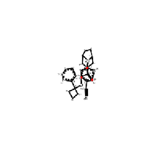 N#Cc1ccc(N2C3CCC2CN(C(=O)COC2(c4cccnn4)CCC2)C3)nc1